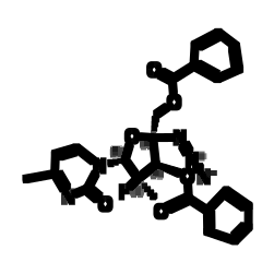 Cc1ccn([C@@H]2O[C@@](COC(=O)c3ccccc3)(N=[N+]=[N-])[C@@H](OC(=O)c3ccccc3)[C@@]2(C)F)c(=O)n1